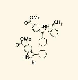 C=Cc1ccccc1-c1[nH]c2cc(C(=O)OC)ccc2c1C1CCCCC1.COC(=O)c1ccc2c(C3CCCCC3)c(Br)[nH]c2c1